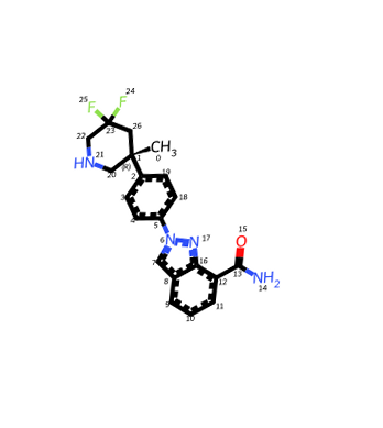 C[C@@]1(c2ccc(-n3cc4cccc(C(N)=O)c4n3)cc2)CNCC(F)(F)C1